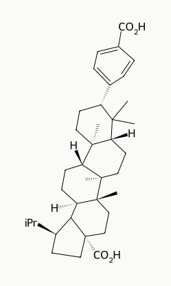 CC(C)[C@@H]1CC[C@]2(C(=O)O)CC[C@]3(C)[C@H](CC[C@@H]4[C@@]5(C)CC[C@H](c6ccc(C(=O)O)cc6)C(C)(C)[C@@H]5CC[C@]43C)C12